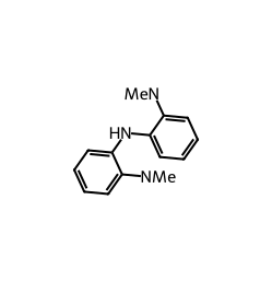 CNc1ccccc1Nc1ccccc1NC